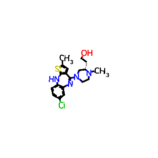 Cc1cc2c(s1)Nc1ccc(Cl)cc1N=C2N1CCN(C)[C@@H](CCO)C1